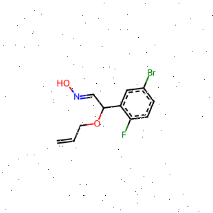 C=CCOC(C=NO)c1cc(Br)ccc1F